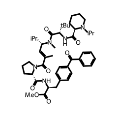 COC(=O)[C@H](Cc1ccc(C(=O)c2ccccc2)cc1)NC(=O)[C@@H]1CCCN1C(=O)/C(C)=C/[C@H](C(C)C)N(C)C(=O)[C@@H](NC(=O)[C@H]1CCCCN1C(C)C)C(C)(C)C